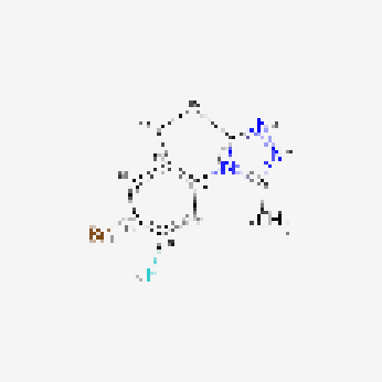 Cc1nnc2n1-c1cc(F)c(Br)cc1CC2